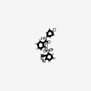 O=C(Nc1ccc(Cl)cc1)c1ccccc1NS(=O)(=O)c1cccc2nsnc12